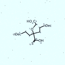 CCCCCCCCCCCCC(CCCCCCCCCCCC)(OCC(=O)O)C(O)=S